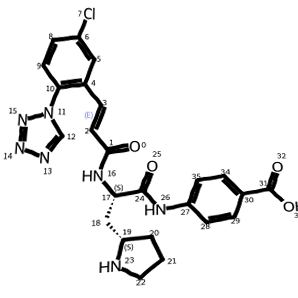 O=C(/C=C/c1cc(Cl)ccc1-n1cnnn1)N[C@@H](C[C@@H]1CCCN1)C(=O)Nc1ccc(C(=O)O)cc1